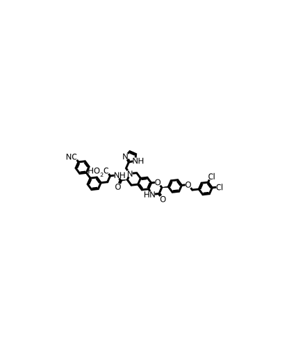 N#Cc1ccc(-c2cccc(CC(NC(=O)[C@@H]3Cc4cc5c(cc4CN3Cc3ncc[nH]3)O[C@@H](c3ccc(OCc4ccc(Cl)c(Cl)c4)cc3)C(=O)N5)C(=O)O)c2)cc1